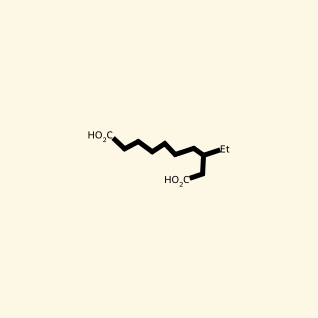 CCC(CCCCCCC(=O)O)CC(=O)O